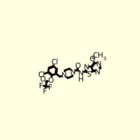 COc1ncnc2sc(NC(=O)N3CCN(Cc4cc(Cl)cc(Cl)c4OC(=O)C(F)(F)F)CC3)nc12